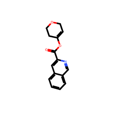 O=C(OC1=CCOCC1)c1cc2ccccc2cn1